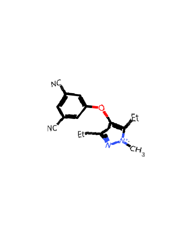 CCC1=N[N+](C)C(CC)=C1Oc1cc(C#N)cc(C#N)c1